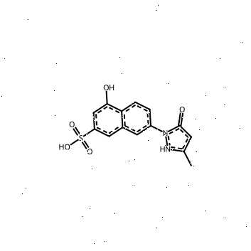 Cc1cc(=O)n(-c2ccc3c(O)cc(S(=O)(=O)O)cc3c2)[nH]1